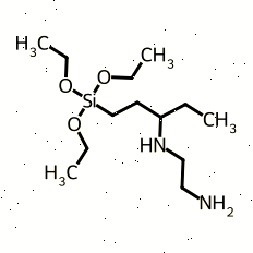 CCO[Si](CCC(CC)NCCN)(OCC)OCC